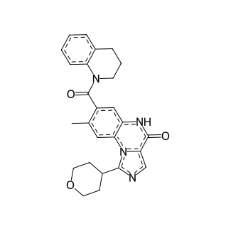 Cc1cc2c(cc1C(=O)N1CCCc3ccccc31)[nH]c(=O)c1cnc(C3CCOCC3)n12